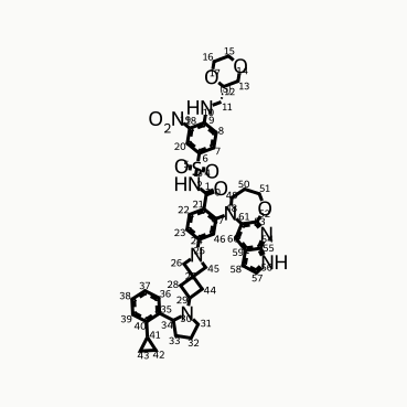 O=C(NS(=O)(=O)c1ccc(NC[C@H]2COCCO2)c([N+](=O)[O-])c1)c1ccc(N2CC3(CC(N4CCCC4c4ccccc4C4CC4)C3)C2)cc1N1CCCOc2nc3[nH]ccc3cc21